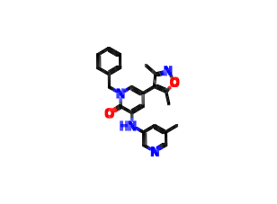 Cc1cncc(Nc2cc(-c3c(C)noc3C)cn(Cc3ccccc3)c2=O)c1